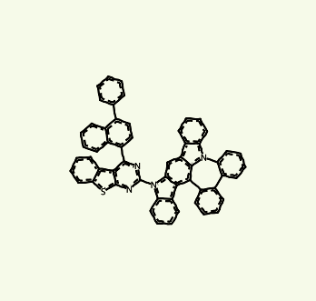 c1ccc(-c2ccc(-c3nc(-n4c5ccccc5c5c6c7c(cc54)c4ccccc4n7-c4ccccc4-c4ccccc4-6)nc4sc5ccccc5c34)c3ccccc23)cc1